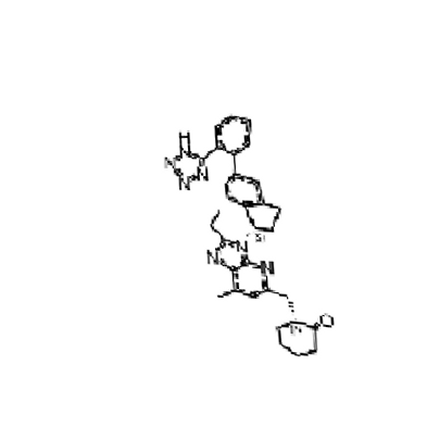 CCc1nc2c(C)cc(C[C@H]3CCCCC3=O)nc2n1[C@H]1CCc2cc(-c3ccccc3-c3nnn[nH]3)ccc21